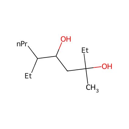 CCCC(CC)C(O)CC(C)(O)CC